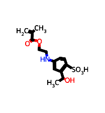 C=C(C)C(=O)OCCNc1ccc(S(=O)(=O)O)c(C(C)O)c1